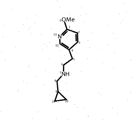 COc1ccc(CCNCC2CC2)cn1